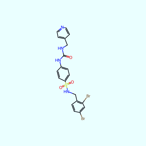 O=C(NCc1ccncc1)Nc1ccc(S(=O)(=O)NCc2ccc(Br)cc2Br)cc1